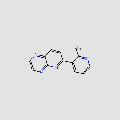 Cc1ncccc1-c1ccc2nccnc2n1